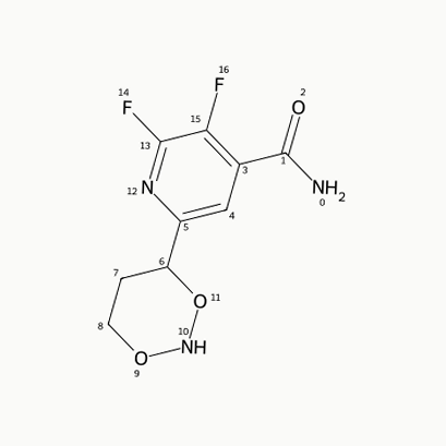 NC(=O)c1cc(C2CCONO2)nc(F)c1F